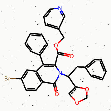 O=C(OCc1cccnc1)c1c(-c2ccccc2)c2cc(Br)ccc2c(=O)n1C(Cc1ccccc1)C1=COCO1